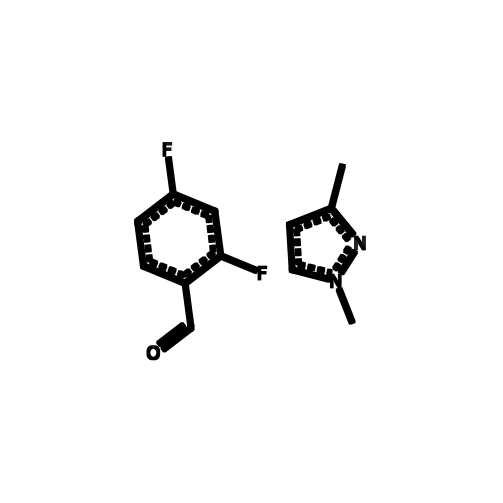 Cc1ccn(C)n1.O=Cc1ccc(F)cc1F